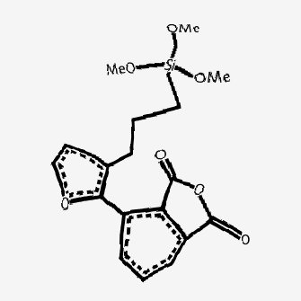 CO[Si](CCCc1ccoc1-c1cccc2c1C(=O)OC2=O)(OC)OC